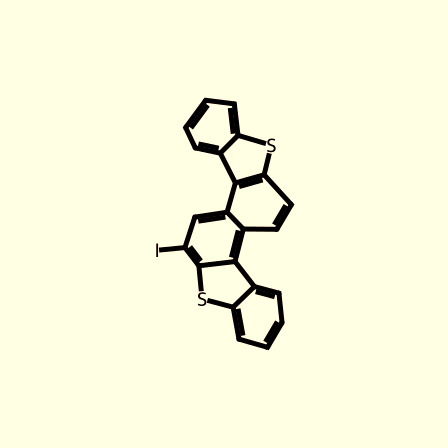 Ic1cc2c(ccc3sc4ccccc4c32)c2c1sc1ccccc12